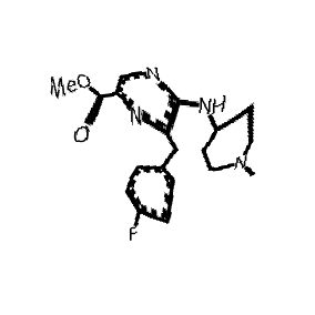 COC(=O)c1cnc(NC2CCN(C)CC2)c(Cc2ccc(F)cc2)n1